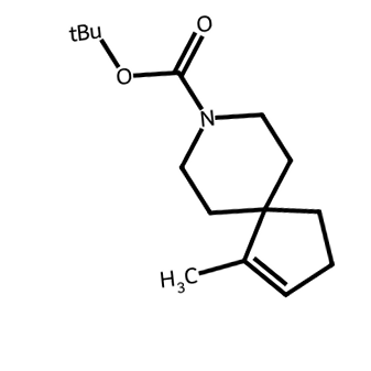 CC1=CCCC12CCN(C(=O)OC(C)(C)C)CC2